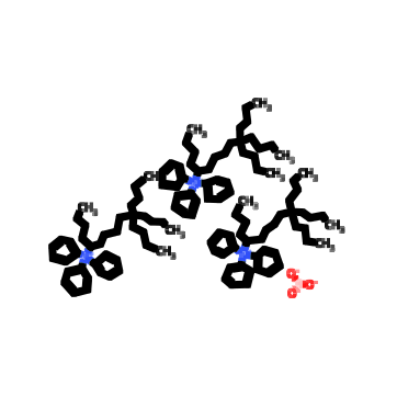 CCCCC(CCCCC(CCCC)(CCCC)CCCC)[N+](c1ccccc1)(c1ccccc1)c1ccccc1.CCCCC(CCCCC(CCCC)(CCCC)CCCC)[N+](c1ccccc1)(c1ccccc1)c1ccccc1.CCCCC(CCCCC(CCCC)(CCCC)CCCC)[N+](c1ccccc1)(c1ccccc1)c1ccccc1.[O-]B([O-])[O-]